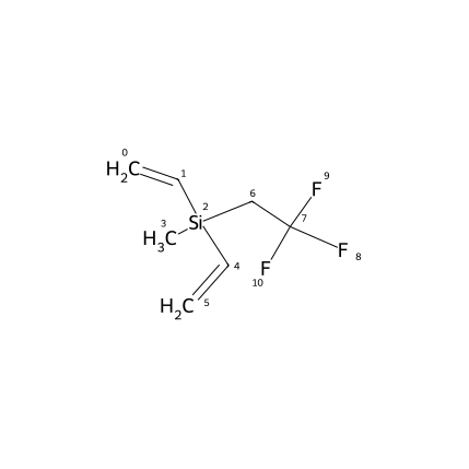 C=C[Si](C)(C=C)CC(F)(F)F